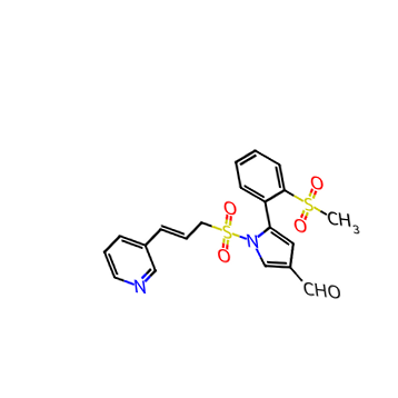 CS(=O)(=O)c1ccccc1-c1cc(C=O)cn1S(=O)(=O)CC=Cc1cccnc1